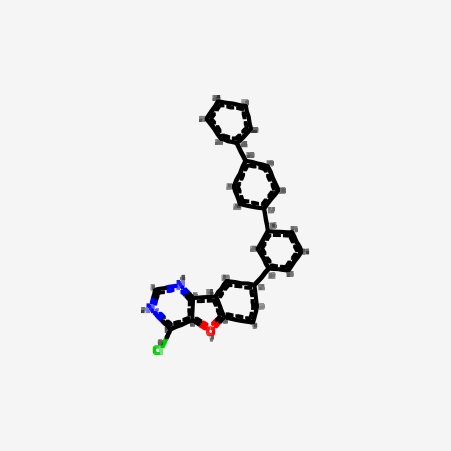 Clc1ncnc2c1oc1ccc(-c3cccc(-c4ccc(-c5ccccc5)cc4)c3)cc12